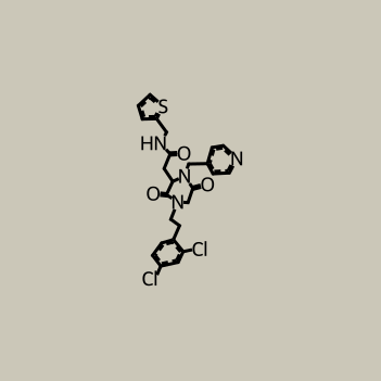 O=C(CC1C(=O)N(CCc2ccc(Cl)cc2Cl)CC(=O)N1Cc1ccncc1)NCc1cccs1